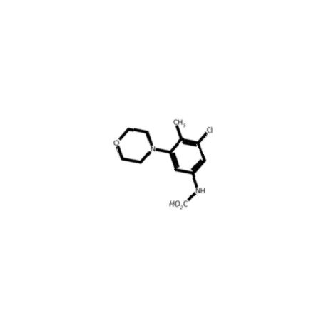 Cc1c(Cl)cc(NC(=O)O)cc1N1CCOCC1